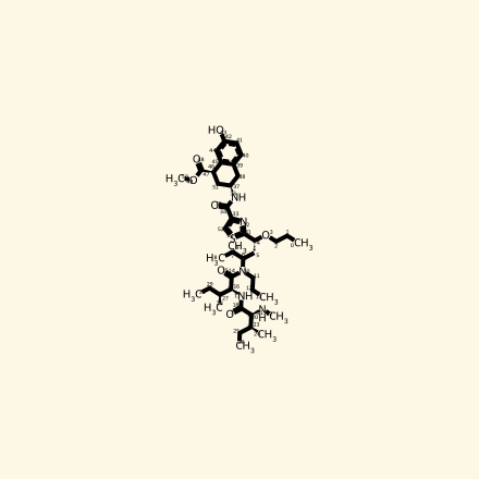 CCCO[C@H](CC(C(C)C)N(CCC)C(=O)[C@@H](NC(=O)[C@@H](NC)[C@@H](C)CC)[C@@H](C)CC)c1nc(C(=O)N[C@H]2Cc3ccc(O)cc3[C@H](C(=O)OC)C2)cs1